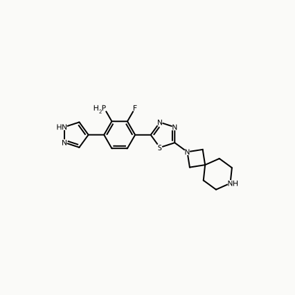 Fc1c(-c2nnc(N3CC4(CCNCC4)C3)s2)ccc(-c2cn[nH]c2)c1P